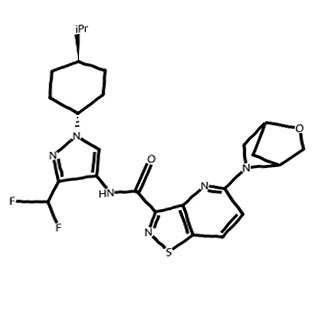 CC(C)[C@H]1CC[C@H](n2cc(NC(=O)c3nsc4ccc(N5CC6CC5CO6)nc34)c(C(F)F)n2)CC1